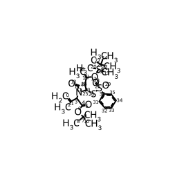 C=C(C)C(C(=O)OC(C)(C)C)N1C(=O)[C@H]([C@@H](C)O[Si](C)(C)C(C)(C)C)[C@H]1SS(=O)(=O)c1ccccc1